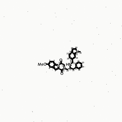 COc1ccc2c(c1)cc1n2C(=O)CN(C[C@H](Cc2ccccc2)NCc2ccc3ccn(C)c3c2)C1=O